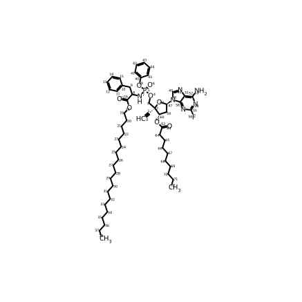 C#C[C@]1(COP(=O)(NC(Cc2ccccc2)C(=O)OCCCCCCCCCCCCCCCCCCCC)Oc2ccccc2)O[C@@H](n2cnc3c(N)nc(F)nc32)C[C@@H]1OC(=O)CCCCCCCCC